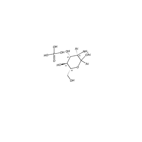 CC(=O)OC1(C(C)=O)O[C@H](CO)[C@@H](O)[C@H](O)[C@]1(N)C(C)=O.O=P(O)(O)O